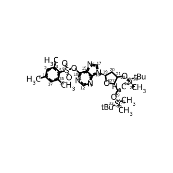 Cc1cc(C)c(S(=O)(=O)Oc2ncnc3c2ncn3[C@H]2CC(O[Si](C)(C)C(C)(C)C)[C@@H](CO[Si](C)(C)C(C)(C)C)O2)c(C)c1